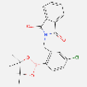 CC1(C)OB(c2ccc(Cl)cc2CN2C(=O)c3ccccc3C2=O)OC1(C)C